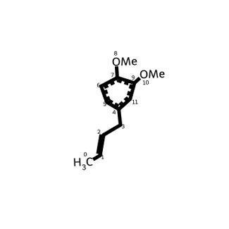 CC=CCc1ccc(OC)c(OC)c1